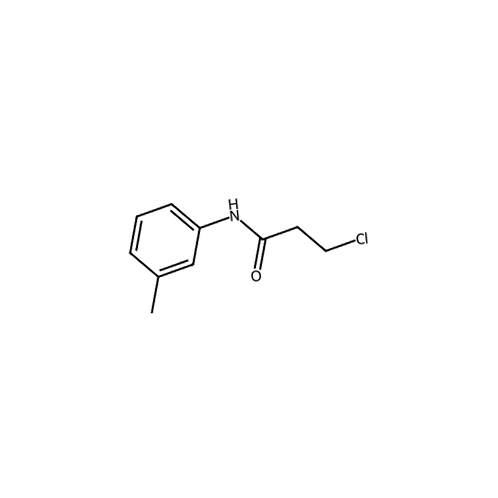 Cc1cccc(NC(=O)CCCl)c1